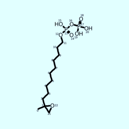 CC1(CCCCCCCCCCOP(=O)(O)OP(=O)(O)O)CO1